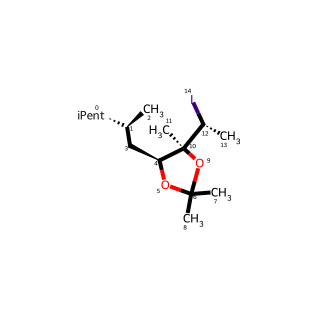 CCC[C@@H](C)[C@@H](C)C[C@@H]1OC(C)(C)O[C@]1(C)[C@@H](C)I